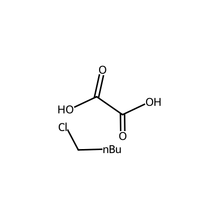 CCCCCCl.O=C(O)C(=O)O